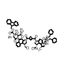 Cc1c[nH]c2c(OP(=O)(OCc3ccccc3)OCc3ccccc3)cc3c(c12)[C@H](CCl)CN3C(=O)C12CC(C(=O)N3C[C@@H](CCl)c4c3cc(N(C(=O)[C@@H](NC(=O)OCC3c5ccccc5-c5ccccc53)C(C)C)[C@@H](C)C(N)=O)c3ccccc43)(C1)C2